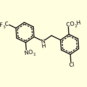 O=C(O)c1ccc(Cl)cc1CNc1ccc(C(F)(F)F)cc1[N+](=O)[O-]